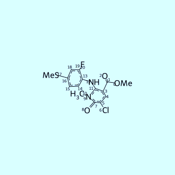 COC(=O)c1cc(Cl)c(=O)n(C)c1Nc1ccc(SC)cc1F